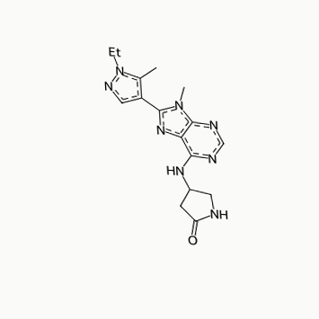 CCn1ncc(-c2nc3c(NC4CNC(=O)C4)ncnc3n2C)c1C